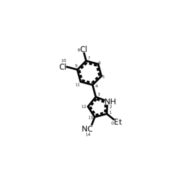 CCc1[nH]c(-c2ccc(Cl)c(Cl)c2)cc1C#N